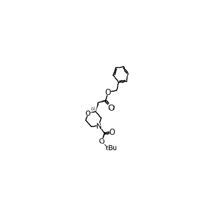 CC(C)(C)OC(=O)N1CCO[C@@H](CC(=O)OCc2ccccc2)C1